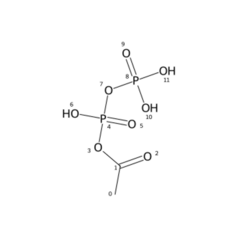 CC(=O)OP(=O)(O)OP(=O)(O)O